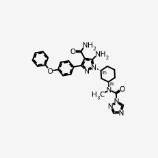 CN(C(=O)n1cncn1)[C@@H]1CCC[C@@H](n2nc(-c3ccc(Oc4ccccc4)cc3)c(C(N)=O)c2N)C1